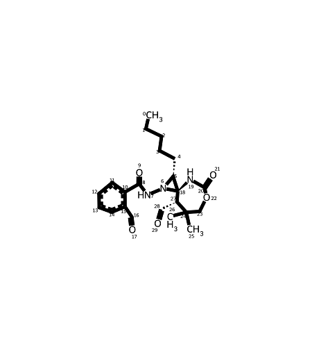 CCCCC[C@H]1N(NC(=O)c2ccccc2C=O)[C@]12NC(=O)OCC(C)(C)[C@@H]2C=O